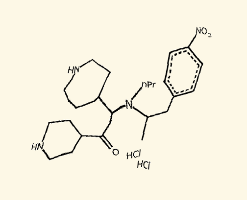 CCCN(C(C)Cc1ccc([N+](=O)[O-])cc1)C(C(=O)C1CCNCC1)C1CCNCC1.Cl.Cl